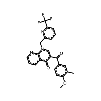 COc1ccc(C(=O)c2cn(Cc3cccc(C(F)(F)F)n3)c3ncccc3c2=O)cc1C